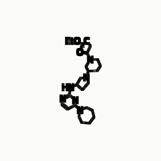 CCOC(=O)CC(=O)N1CCCC(N2CCC(Nc3nccc(N4CCCCCC4)n3)C2)C1